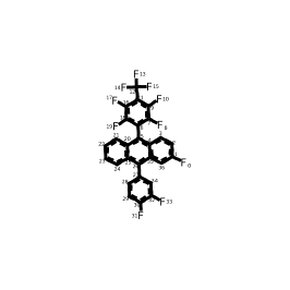 Fc1ccc2c(-c3c(F)c(F)c(C(F)(F)F)c(F)c3F)c3ccccc3c(-c3ccc(F)c(F)c3)c2c1